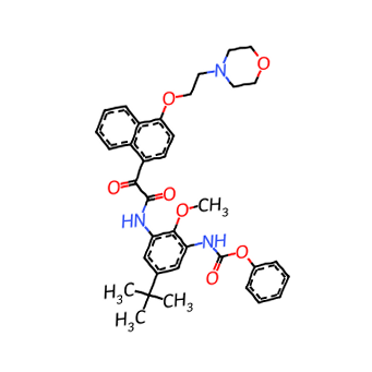 COc1c(NC(=O)Oc2ccccc2)cc(C(C)(C)C)cc1NC(=O)C(=O)c1ccc(OCCN2CCOCC2)c2ccccc12